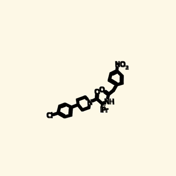 CC(C)[C@@H](NC(=O)Cc1ccc([N+](=O)[O-])cc1)C(=O)N1CCC(c2ccc(Cl)cc2)CC1